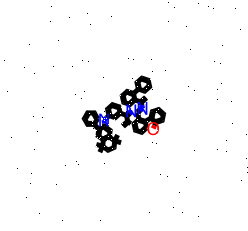 C=C(C)/C(=N\C(=N/C(=C)c1ccccc1-c1ccccc1)c1cccc2oc3ccccc3c12)c1cccc(-n2c3ccccc3c3cc4c(cc32)C(C)(C)CCC4(C)C)c1